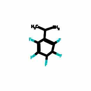 BC(C)C1=C(F)C(F)C(F)C(F)=C1F